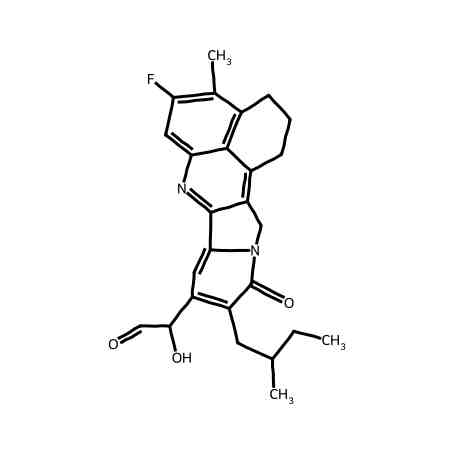 CCC(C)Cc1c(C(O)C=O)cc2n(c1=O)Cc1c-2nc2cc(F)c(C)c3c2c1CCC3